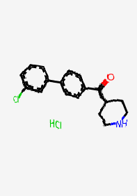 Cl.O=C(c1ccc(-c2cccc(Cl)c2)cc1)C1CCNCC1